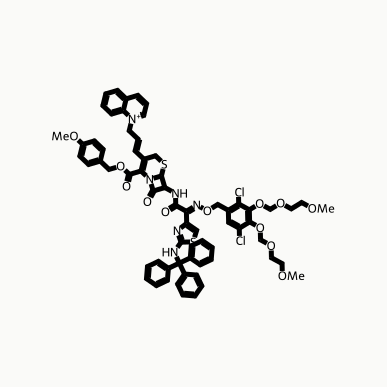 COCCOCOc1c(Cl)cc(CON=C(C(=O)NC2C(=O)N3C(C(=O)OCc4ccc(OC)cc4)=C(C=CC[n+]4cccc5ccccc54)CSC23)c2csc(NC(c3ccccc3)(c3ccccc3)c3ccccc3)n2)c(Cl)c1OCOCCOC